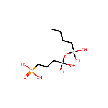 CCCC[Si](O)(O)O[Si](O)(O)CCCP(=O)(O)O